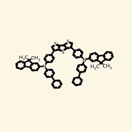 CC1(C)c2ccccc2-c2ccc(N(c3ccc(-c4ccccc4)cc3)c3ccc(-c4csc5c4sc4c(-c6ccc(N(c7ccc(-c8ccccc8)cc7)c7ccc8c(c7)C(C)(C)c7ccccc7-8)cc6)csc45)cc3)cc21